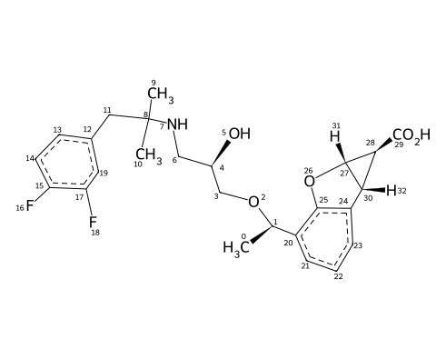 C[C@@H](OC[C@H](O)CNC(C)(C)Cc1ccc(F)c(F)c1)c1cccc2c1O[C@@H]1[C@@H](C(=O)O)[C@H]21